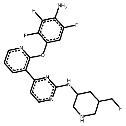 Nc1c(F)cc(Oc2ncccc2-c2ccnc(NC3CNCC(CF)C3)n2)c(F)c1F